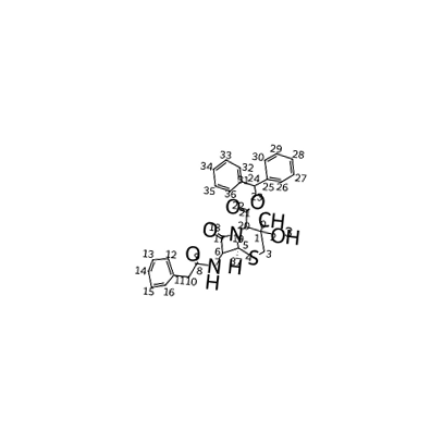 CC1(O)CS[C@H]2C(NC(=O)Cc3ccccc3)C(=O)N2C1C(=O)OC(c1ccccc1)c1ccccc1